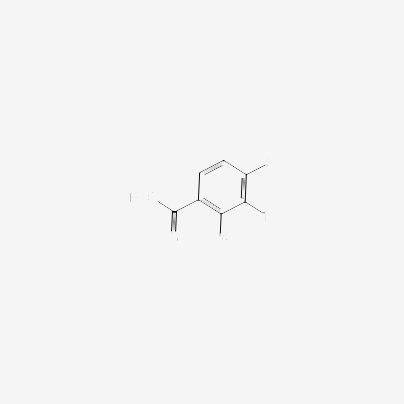 CC(=O)c1ccc(F)c(F)c1Br